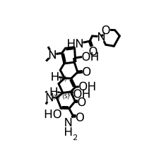 CN(C)c1cc(NC(=O)CN2CCCCO2)c(O)c2c1C[C@H]1C[C@H]3[C@H](N(C)C)C(O)=C(C(N)=O)C(=O)[C@@]3(O)C(O)=C1C2=O